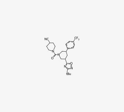 CC(C)(C)c1noc(C2CC(c3ccc(C(F)(F)F)cc3)CN(C(=O)N3CCC(C#N)CC3)C2)n1